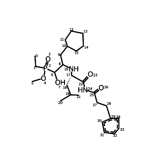 CCP(=O)(OC)C(O)C(CC1CCCCC1)N[C@@H](CC(C)C)C(=O)NC(=O)CCc1ccccc1